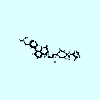 Cc1ncsc1S(=O)(=O)N1CCN(C[C@H](C)Nc2ncnc3c(-c4cncc(CN(C)C)c4)cccc23)CC1